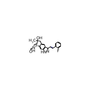 CC(O)(CCNC=O)Cc1cc2c(/C=C/c3ccccc3F)n[nH]c2cc1F